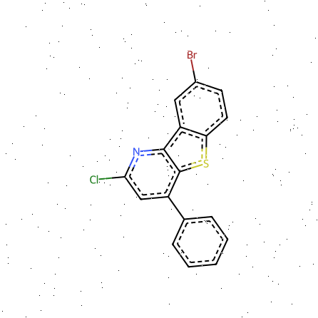 Clc1cc(-c2ccccc2)c2sc3ccc(Br)cc3c2n1